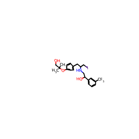 CC(C)(CO)Oc1ccc(CC(CI)NCC(O)c2cccc(C(F)(F)F)c2)cc1